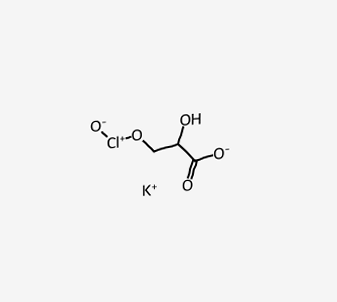 O=C([O-])C(O)CO[Cl+][O-].[K+]